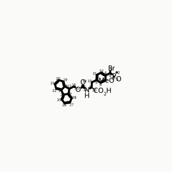 COP(C)(=O)C(Br)c1ccc(C[C@H](NC(=O)OCC2c3ccccc3-c3ccccc32)C(=O)O)cc1